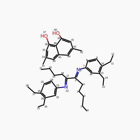 CCCCCC(=Nc1ccc(CC)c(CC)c1)C(CCCC)=Nc1ccc(CC)c(CC)c1.Cc1cc(O)c2c(O)cc(C)cc2c1